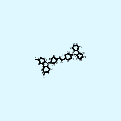 Cc1ccc2c(c1)-c1cc(C)ccc1B2c1ccc(/C=C/c2ccc(-n3c4ccccc4c4ccccc43)cc2)cc1